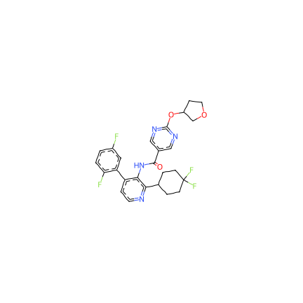 O=C(Nc1c(-c2cc(F)ccc2F)ccnc1C1CCC(F)(F)CC1)c1cnc(OC2CCOC2)nc1